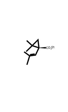 CCOC(=O)[C@]1(C=C(C)C)CC1(C)C